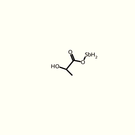 CC(O)C(=O)[O][SbH2]